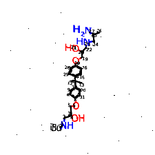 CCC(C)NCC(O)COc1ccc(C(C)(C)c2ccc(OCC(O)CNCC(C)N)cc2)cc1